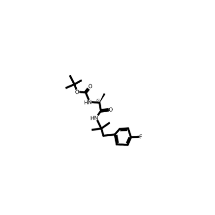 C[C@H](NC(=O)OC(C)(C)C)C(=O)NC(C)(C)Cc1ccc(F)cc1